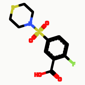 O=C(O)c1cc(S(=O)(=O)N2CCSCC2)ccc1F